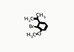 C=C(C)c1cccc(OC)c1Br